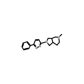 CN1CCC2CN(c3ccc(-c4ccccc4)nn3)CC2C1